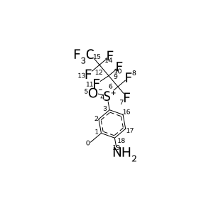 Cc1cc([S+]([O-])C(F)(F)C(F)(F)C(F)(F)C(F)(F)F)ccc1N